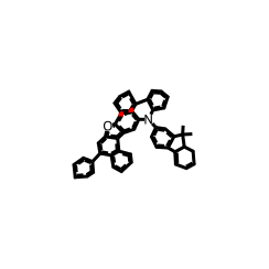 CC1(C)c2cc(N(c3ccc4oc5cc(-c6ccccc6)c6ccccc6c5c4c3)c3ccccc3-c3ccccc3)ccc2C2=CC=CCC21